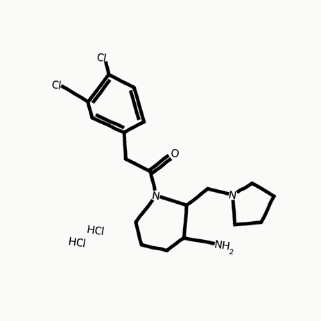 Cl.Cl.NC1CCCN(C(=O)Cc2ccc(Cl)c(Cl)c2)C1CN1CCCC1